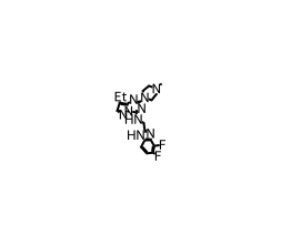 CCc1cnn2c(NCc3nc4c(F)c(F)ccc4[nH]3)nc(N3CCN(C)CC3)nc12